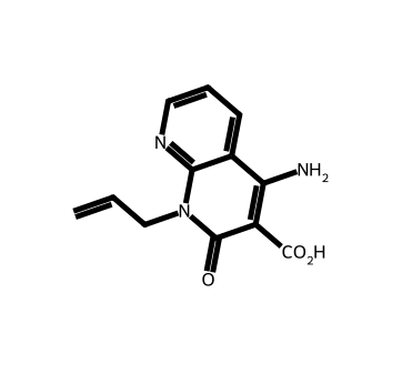 C=CCn1c(=O)c(C(=O)O)c(N)c2cccnc21